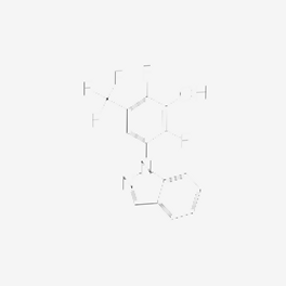 Oc1c(F)c(-n2ncc3ccccc32)cc(C(F)(F)F)c1F